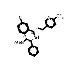 CNC(=O)[C@H](N[C@@H](CCc1ccc(C(F)(F)F)nc1)c1cccc(Cl)c1)c1ccccc1